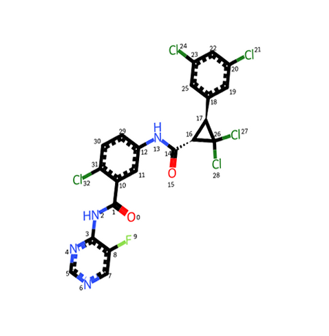 O=C(Nc1ncncc1F)c1cc(NC(=O)[C@@H]2[C@@H](c3cc(Cl)cc(Cl)c3)C2(Cl)Cl)ccc1Cl